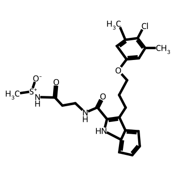 Cc1cc(OCCCc2c(C(=O)NCCC(=O)N[S+](C)[O-])[nH]c3ccccc23)cc(C)c1Cl